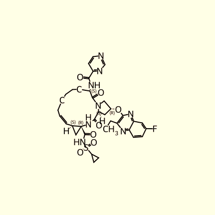 CCc1nc2ccc(F)cc2nc1O[C@@H]1C[C@H]2C(=O)N[C@]3(C(=O)NS(=O)(=O)C4CC4)C[C@H]3C=CCCCCC[C@H](NC(=O)c3ccncn3)C(=O)N2C1